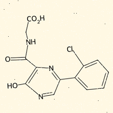 O=C(O)CNC(=O)c1nc(-c2ccccc2Cl)cnc1O